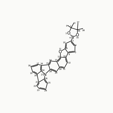 CC1(C)OB(c2ccc3c(c2)oc2c4cc5c6cccc7c8ccccc8n(c5cc4ccc32)c76)OC1(C)C